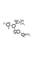 Cn1cc(-c2ccc3c(-c4cc(NCC(C)(C)O)cc(-c5ncc(F)cc5F)c4)cnn3c2)cn1